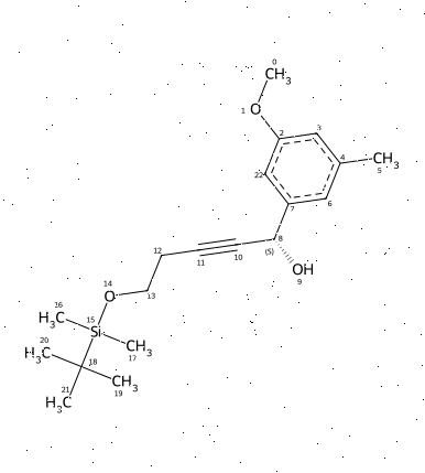 COc1cc(C)cc([C@H](O)C#CCCO[Si](C)(C)C(C)(C)C)c1